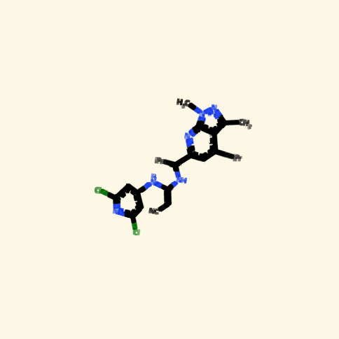 Cc1nn(C)c2nc(C(N/C(=C/C#N)Nc3cc(Cl)nc(Cl)c3)C(C)C)cc(C(C)C)c12